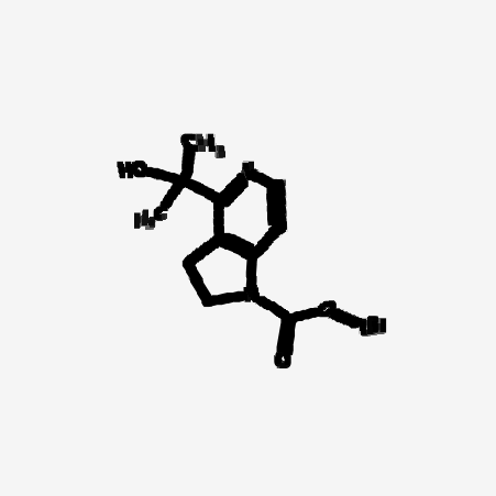 CC(C)(C)OC(=O)N1CCc2c1ccnc2C(C)(C)O